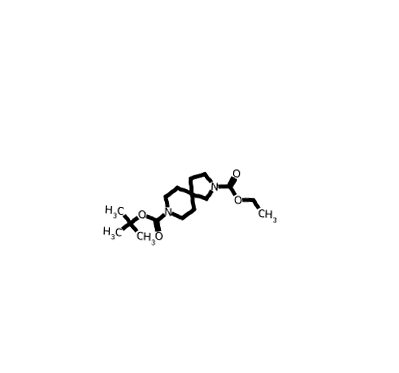 CCOC(=O)N1CCC2(CCN(C(=O)OC(C)(C)C)CC2)C1